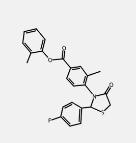 Cc1ccccc1OC(=O)c1ccc(N2C(=O)CSC2c2ccc(F)cc2)c(C)c1